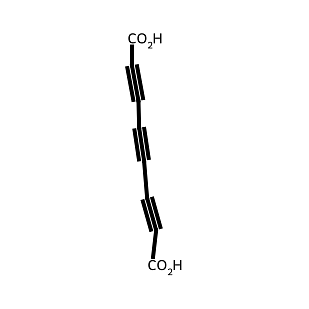 O=C(O)C#CC#CC#CC(=O)O